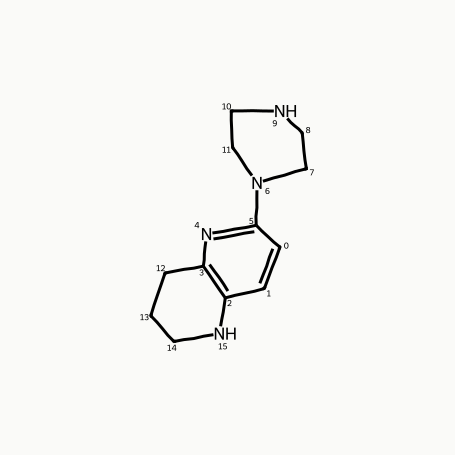 c1cc2c(nc1N1CCNCC1)CCCN2